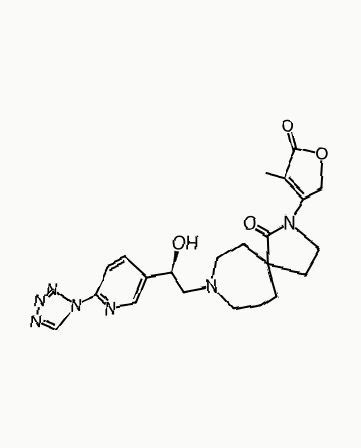 CC1=C(N2CCC3(CCCN(C[C@H](O)c4ccc(-n5cnnn5)nc4)CC3)C2=O)COC1=O